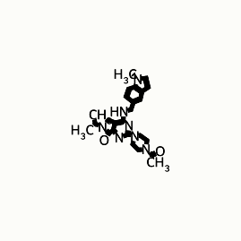 CC(=O)N1CCN(c2nc(NCc3ccc4c(ccn4C)c3)c3c(n2)C(=O)N(C(C)C)C3)CC1